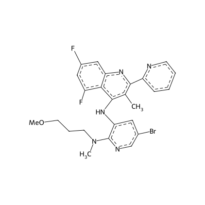 COCCCN(C)c1ncc(Br)cc1Nc1c(C)c(-c2ccccn2)nc2cc(F)cc(F)c12